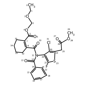 CCOCOC(=O)C1=C(C(=O)N(C(=O)c2ccccc2)c2c(F)sc(CC(=O)OC)c2Cl)CCCC1